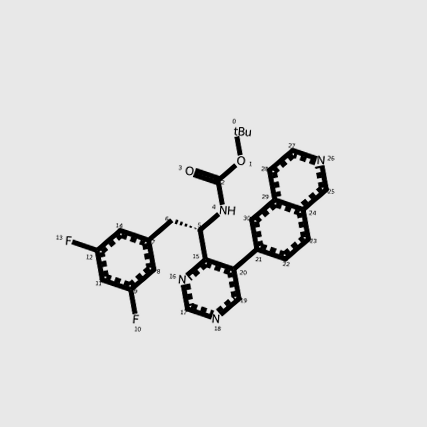 CC(C)(C)OC(=O)N[C@@H](Cc1cc(F)cc(F)c1)c1ncncc1-c1ccc2cnccc2c1